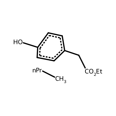 CCCC.CCOC(=O)Cc1ccc(O)cc1